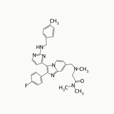 Cc1ccc(CNc2nccc(-c3c(-c4ccc(F)cc4)nc4cc(CN(C)CC(=O)N(C)C)ccn34)n2)cc1